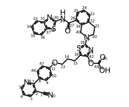 N#Cc1cccnc1-c1ccc(OCCCc2sc(N3CCc4cccc(C(=O)Nc5nc6ccccc6s5)c4C3)nc2OC(=O)O)cc1